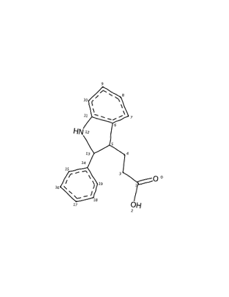 O=C(O)CCC1c2ccccc2NC1c1ccccc1